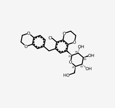 OC[C@H]1O[C@@H](c2cc(Cc3ccc4c(c3)OCCO4)c(Cl)c3c2OCCO3)[C@H](O)[C@@H](O)[C@@H]1O